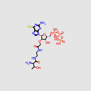 CC(O)C(N)C(=O)NCCNC(=O)COC1[C@@H](O)[C@@H](COP(=O)(O)OP(=O)(O)OP(=O)(O)O)O[C@H]1n1cnc2c(S)nc(N)nc21